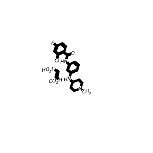 CN1CCC(Nc2cccc(NC(=O)c3ccc(F)cc3Cl)c2)CC1.O=C(O)/C=C/C(=O)O